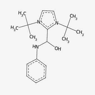 CC(C)(C)n1cc[n+](C(C)(C)C)c1C(O)Nc1ccccc1